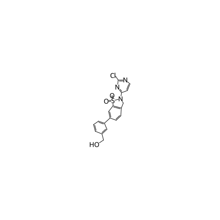 O=S1(=O)c2cc(-c3cccc(CO)c3)ccc2CN1c1ccnc(Cl)n1